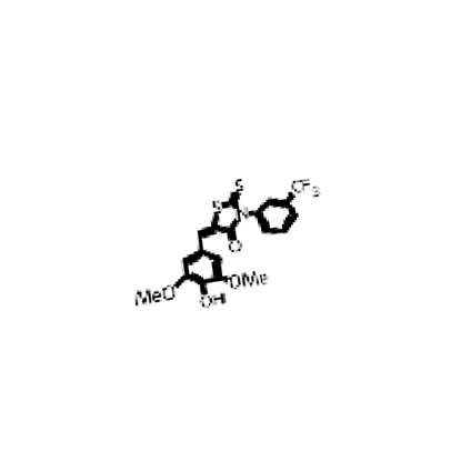 COc1cc(C=C2SC(=S)N(c3cccc(C(F)(F)F)c3)C2=O)cc(OC)c1O